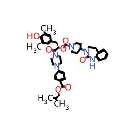 Cc1cc(C[C@@H](OC(=O)N2CCC(N3CCc4ccccc4NC3=O)CC2)C(=O)N2CCN(c3ccc(C(=O)OCC(C)C)cc3)CC2)cc(C)c1O